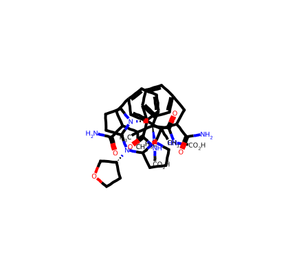 CC1(C)C(C(N)=O)Cc2ccc(cc2)[C@@]1(C(=O)NC(=O)O)N1CCCC1N(C1CCCN1[C@]1(C(=O)NC(=O)O)c2ccc(cc2)CC(C(N)=O)C1(C)C)[C@@H]1CCOC1